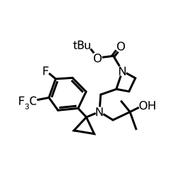 CC(C)(O)CN(CC1CCN1C(=O)OC(C)(C)C)C1(c2ccc(F)c(C(F)(F)F)c2)CC1